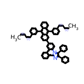 C/C=C\C=C/c1cccc(-c2c3ccccc3c(-c3cccc(/C=C\C=C/C)c3)c3cc(-c4ccc5c(c4)c4ccccc4c4nc(-c6ccccc6)c(-c6ccccc6)n54)ccc23)c1